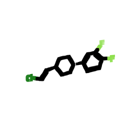 Fc1ccc([C@H]2CC[C@H](/C=C/Cl)CC2)cc1F